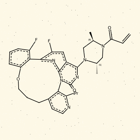 C=CC(=O)N1C[C@H](C)N(c2nc(=O)n3c4nc(c(F)cc24)-c2c(F)cccc2OCCCc2ccnc(C(C)C)c2-3)C[C@H]1C